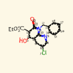 CCOC(=O)c1c(O)c2cc(Cl)cnc2n(Cc2ccccc2)c1=O